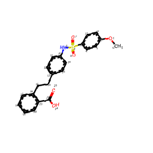 COc1ccc(S(=O)(=O)Nc2ccc(CCc3ccccc3C(=O)O)cc2)cc1